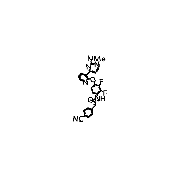 CNc1nccc(-c2cccnc2Oc2ccc(N[S+]([O-])Cc3ccc(C#N)cc3)c(F)c2F)n1